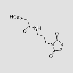 C#CCC(=O)NCCCN1C(=O)C=CC1=O